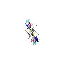 [C-]#[N+]/C(C#N)=C1\C(=c2\cc/c(=C\c3cc4c(s3)-c3cc5c(cc3C4(c3ccc(CCCCCC)cc3)c3ccc(CCCCCC)cc3)-c3sc(/C=c4\cc/c(=C6\C(=O)c7cc(F)c(F)cc7\C6=C(\C#N)[N+]#[C-])s4)cc3C5(c3ccc(CCCCCC)cc3)c3ccc(CCCCCC)cc3)s2)C(=O)c2cc(F)c(F)cc21